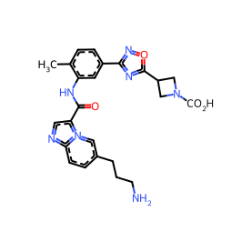 Cc1ccc(-c2noc(C3CN(C(=O)O)C3)n2)cc1NC(=O)c1cnc2ccc(CCCN)cn12